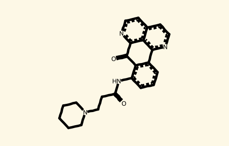 O=C(CCN1CCCCC1)Nc1cccc2c1C(=O)c1nccc3ccnc-2c13